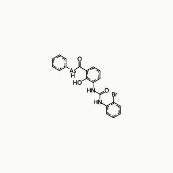 O=C(Nc1ccccc1Br)Nc1cccc(C(=O)[AsH]c2ccccc2)c1O